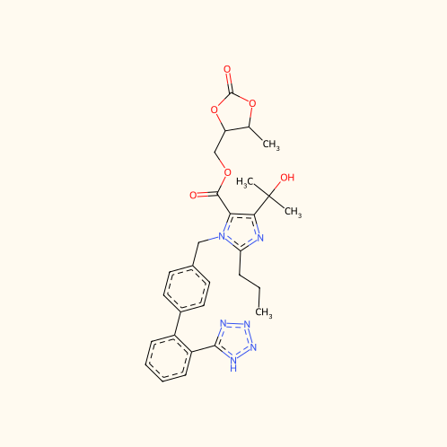 CCCc1nc(C(C)(C)O)c(C(=O)OCC2OC(=O)OC2C)n1Cc1ccc(-c2ccccc2-c2nnn[nH]2)cc1